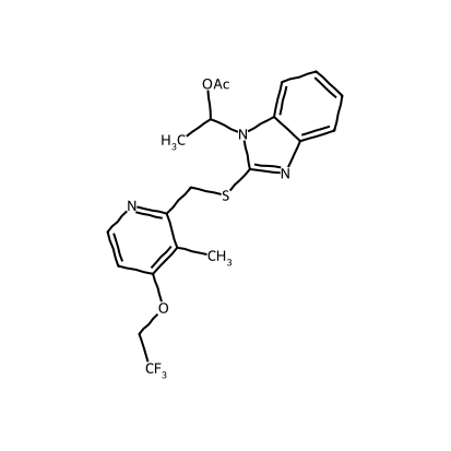 CC(=O)OC(C)n1c(SCc2nccc(OCC(F)(F)F)c2C)nc2ccccc21